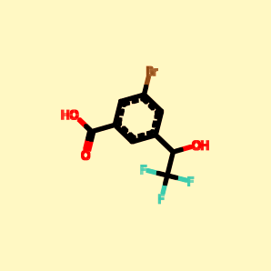 O=C(O)c1cc(Br)cc(C(O)C(F)(F)F)c1